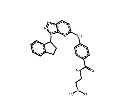 CCN(CC)CCNC(=O)c1ccc(Nc2ncc3nnn(C4CCc5ccccc54)c3n2)cc1